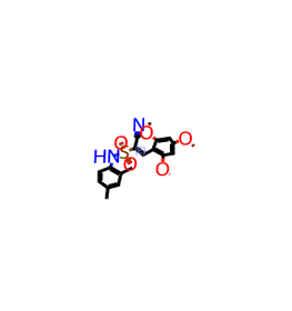 COc1cc(OC)c(/C=C(\C#N)S(=O)(=O)Nc2ccc(C)cc2C)c(OC)c1